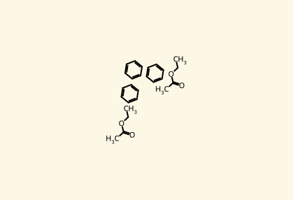 CCOC(C)=O.CCOC(C)=O.c1ccccc1.c1ccccc1.c1ccccc1